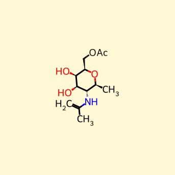 C=C(C)N[C@@H]1[C@@H](O)[C@@H](O)[C@@H](COC(C)=O)O[C@H]1C